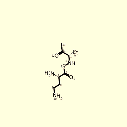 CC[C@H](NSC(=O)[C@@H](N)CCN)C(=O)I